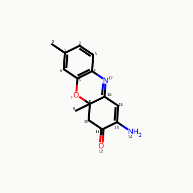 Cc1ccc2c(c1)OC1(C)CC(=O)C(N)=CC1=N2